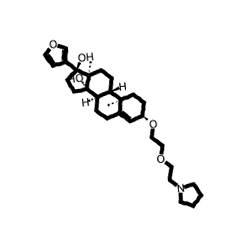 C[C@]12CC[C@H]3[C@@H](CCC4=C[C@@H](OCCOCCN5CCCC5)CC[C@@]43C)[C@@]1(O)CC[C@]2(O)c1ccoc1